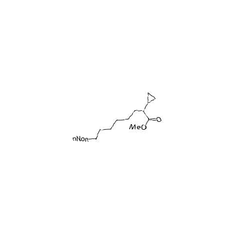 CCCCCCCCCCCCCCCC(C(=O)OC)C1CC1